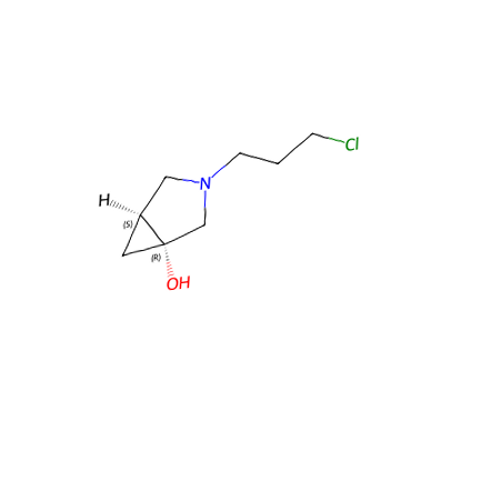 O[C@]12C[C@H]1CN(CCCCl)C2